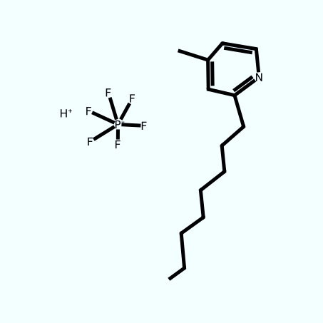 CCCCCCCCc1cc(C)ccn1.F[P-](F)(F)(F)(F)F.[H+]